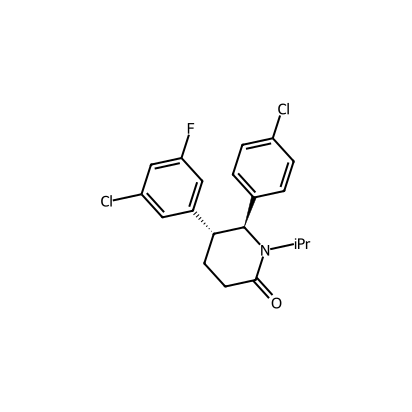 CC(C)N1C(=O)CC[C@H](c2cc(F)cc(Cl)c2)[C@H]1c1ccc(Cl)cc1